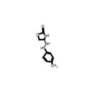 Cc1ccc(NN[C@H]2COC(=O)N2)cc1